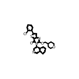 O=c1c2sc(-c3ccccc3Cl)cc2nc(OCC2CCOCC2)n1-c1cncc2ccccc12